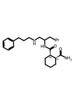 CC(C)CC(CNCCCc1ccccc1)NC(=O)[C@@H]1CCCC[C@@H]1C(N)=O